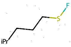 CC(C)CCCSF